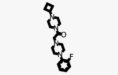 O=C(CN1CCN(c2ccccc2F)CC1)N1CCN(C2CCC2)CC1